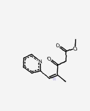 COC(=O)CC(=O)/C(C)=C\c1ccccn1